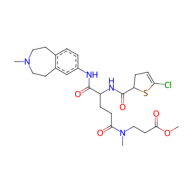 COC(=O)CCN(C)C(=O)CCC(NC(=O)C1CC=C(Cl)S1)C(=O)Nc1ccc2c(c1)CCN(C)CC2